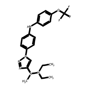 CCN(CC)N(C)c1cn(-c2ccc(Nc3ccc(OC(F)(F)F)cc3)cc2)nn1